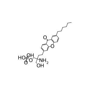 CCCCCCc1ccc2oc3cc(CCC(N)(CO)COP(=O)(O)O)ccc3c(=O)c2c1